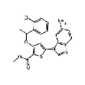 COC(=O)c1sc(-n2cnc3ccc(N)cc32)cc1OC(C)c1ccccc1Cl